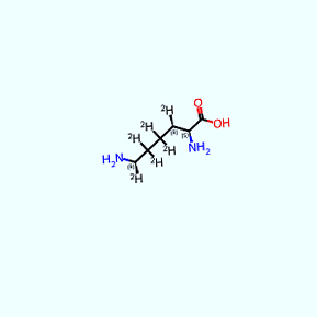 [2H][C@@H](N)C([2H])([2H])C([2H])([2H])[C@@H]([2H])[C@H](N)C(=O)O